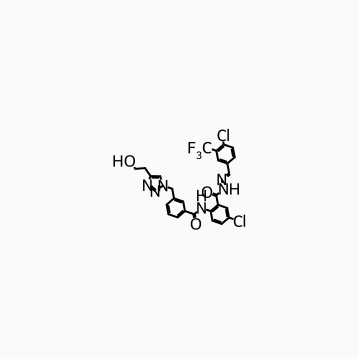 O=C(Nc1ccc(Cl)cc1C(=O)NN=Cc1ccc(Cl)c(C(F)(F)F)c1)c1cccc(Cn2cc(CCO)nn2)c1